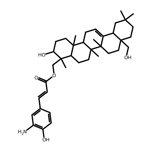 CC1(C)CCC2(CO)CCC3(C)C(=CCC4C5(C)CCC(O)C(C)(COC(=O)/C=C/c6ccc(O)c(N)c6)C5CCC43C)C2C1